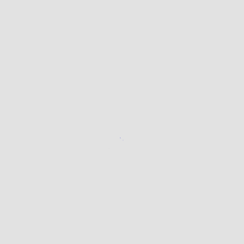 O=[C]c1cccn2cccc12